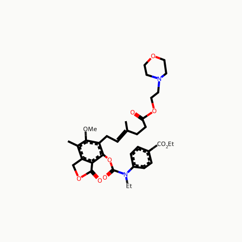 CCOC(=O)c1ccc(N(CC)C(=O)Oc2c(C/C=C(\C)CCC(=O)OCCN3CCOCC3)c(OC)c(C)c3c2C(=O)OC3)cc1